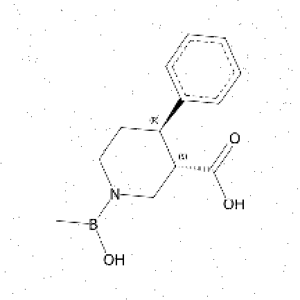 CB(O)N1CC[C@@H](c2ccccc2)[C@H](C(=O)O)C1